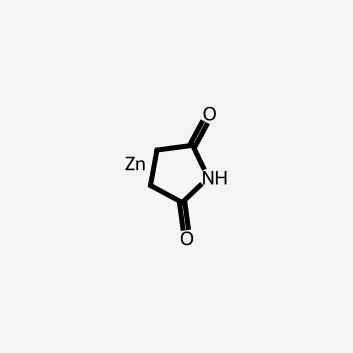 O=C1CCC(=O)N1.[Zn]